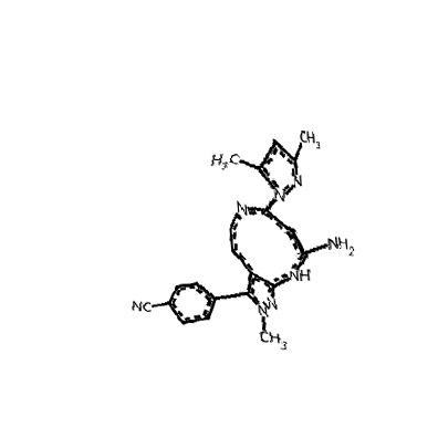 Cc1cc(C)n(-c2cc(N)[nH]c3nn(C)c(-c4ccc(C#N)cc4)c3ccn2)n1